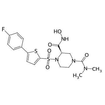 CN(C)C(=O)N1CCN(S(=O)(=O)c2ccc(-c3ccc(F)cc3)s2)[C@@H](C(=O)NO)C1